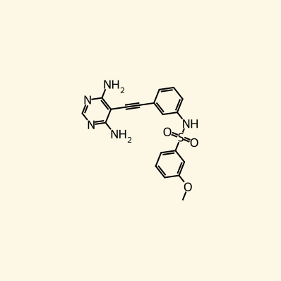 COc1cccc(S(=O)(=O)Nc2cccc(C#Cc3c(N)ncnc3N)c2)c1